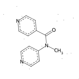 CN(C(=O)c1ccncc1)c1ccncc1